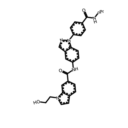 CCCNC(=O)c1ccc(-n2ncc3cc(NC(=O)c4ccc5ccn(CCO)c5c4)ccc32)cc1